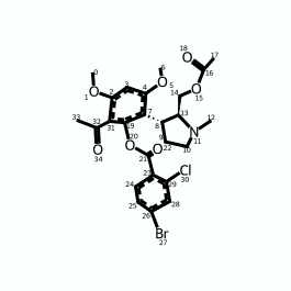 COc1cc(OC)c([C@H]2CCN(C)[C@@H]2COC(C)=O)c(OC(=O)c2ccc(Br)cc2Cl)c1C(C)=O